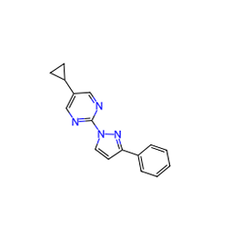 c1ccc(-c2ccn(-c3ncc(C4CC4)cn3)n2)cc1